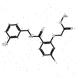 CCCCOC(=O)COc1cc(F)ccc1C(=O)NCc1cccc([N+](=O)[O-])c1